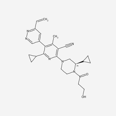 C=Cc1cc(-c2c(C3CC3)nc(N3CCN(C(=O)CCO)[C@H](C4CC4)C3)c(C#N)c2C)cnn1